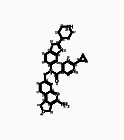 Nc1nc2cc(CN(C(=O)c3cnc(C4CC4)nc3)c3ccc4sc(C5CCNCC5)nc4c3)ccc2c2c1COC2